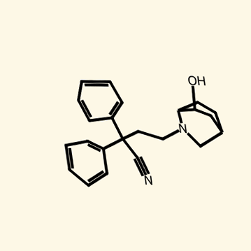 N#CC(CCN1CC2CCC1C(O)C2)(c1ccccc1)c1ccccc1